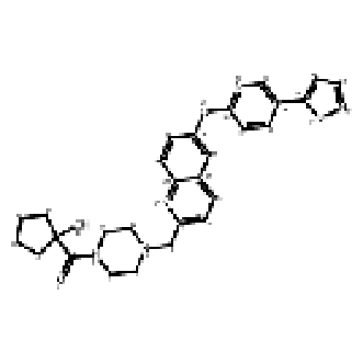 N#CC1(C(=O)N2CCN(Cc3ccc4cc(Oc5ccc(-c6ccn[nH]6)cn5)ccc4n3)CC2)CCCC1